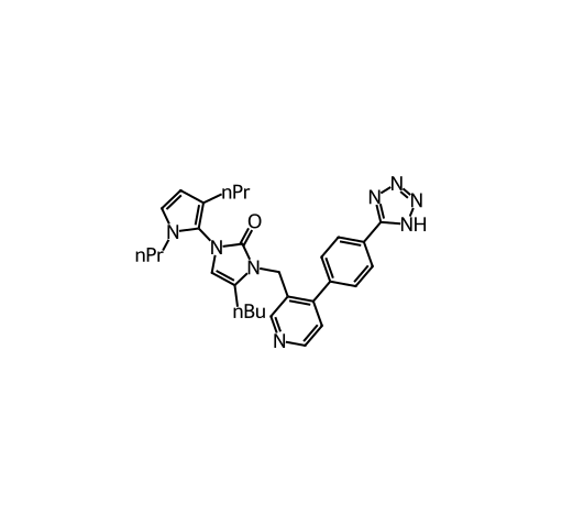 CCCCc1cn(-c2c(CCC)ccn2CCC)c(=O)n1Cc1cnccc1-c1ccc(-c2nnn[nH]2)cc1